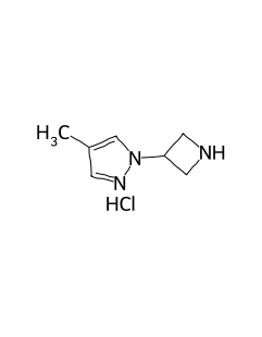 Cc1cnn(C2CNC2)c1.Cl